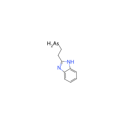 [AsH2]CCc1nc2ccccc2[nH]1